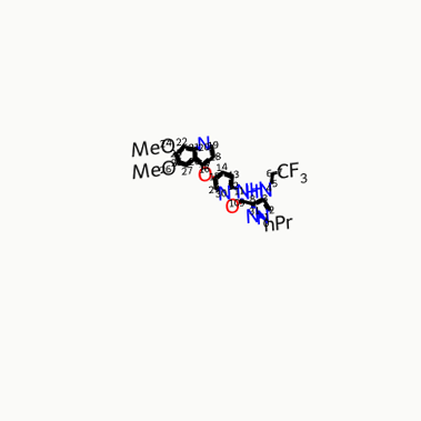 CCCn1cc(NCCC(F)(F)F)c(C(=O)Nc2ccc(Oc3ccnc4cc(OC)c(OC)cc34)cn2)n1